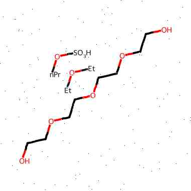 CCCOS(=O)(=O)O.CCOCC.OCCOCCOCCOCCO